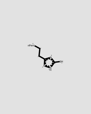 CCCCCCCc1n[nH]c(S)n1